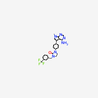 Cn1cc(-c2ccc(N3CCN(Cc4cccc(C(F)(F)F)c4)C3=O)cc2)c2c(N)ncnc21